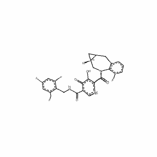 O=C(NCc1c(F)cc(F)cc1F)c1c[nH]c(C(=O)N2C[C@@H]3CC3Cc3cccc(F)c32)c(O)c1=O